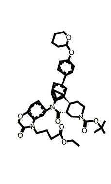 CCOC(=O)CCCN1C(=O)COc2ccc(N(C(=O)[C@H]3CN(C(=O)OC(C)(C)C)CC[C@@H]3c3cccc(-c4ccc(OC5CCCCO5)cc4)c3)C3CC3)cc21